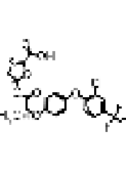 C[C@@H](Oc1ccc(Oc2ncc(C(F)(F)F)cc2Cl)cc1)C(=O)O[C@H]1CS[C@H](C(=O)O)O1